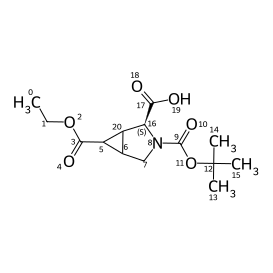 CCOC(=O)C1C2CN(C(=O)OC(C)(C)C)[C@H](C(=O)O)C21